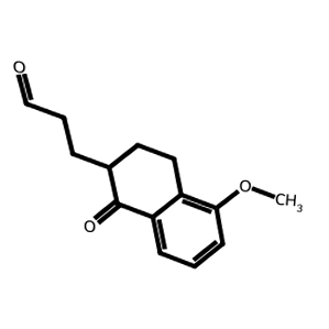 COc1cccc2c1CCC(CCC=O)C2=O